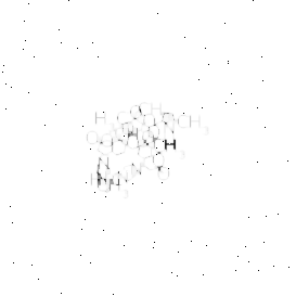 CO[C@H]1[C@H](OC(=O)c2ccc(C)[nH]2)[C@H](Oc2ccc3c(N4CCN(C)CC4)cc(=O)oc3c2C)[C@@H](Oc2ccc3c(N4CCN(C)CC4)cc(=O)oc3c2C)O[C@@H]1C